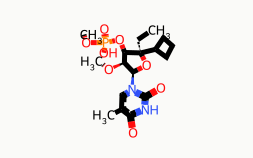 CC[C@]1(C2CCC2)O[C@@H](n2cc(C)c(=O)[nH]c2=O)[C@@H](OC)C1OP(=O)(O)OC